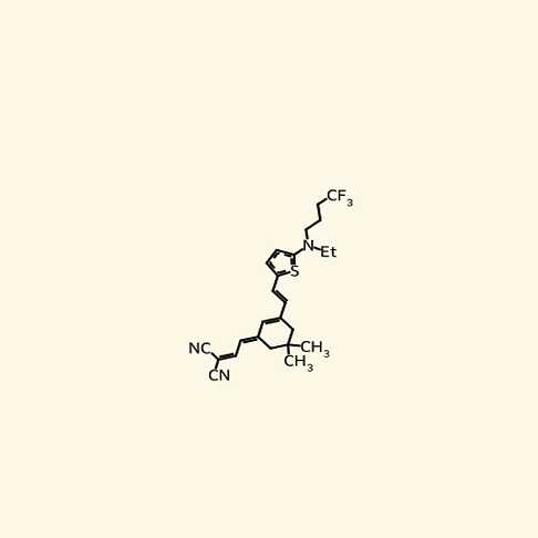 CCN(CCCC(F)(F)F)c1ccc(/C=C/C2=CC(=C/C=C(C#N)C#N)/CC(C)(C)C2)s1